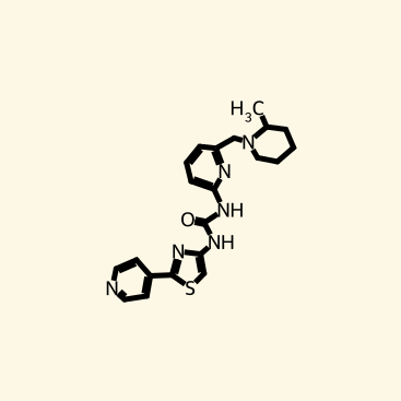 CC1CCCCN1Cc1cccc(NC(=O)Nc2csc(-c3ccncc3)n2)n1